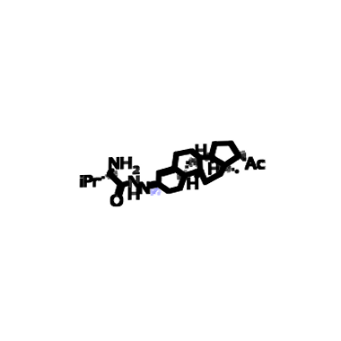 CC(=O)[C@H]1CC[C@H]2[C@@H]3CCC4=C/C(=N\NC(=O)[C@@H](N)C(C)C)CC[C@]4(C)[C@H]3CC[C@]12C